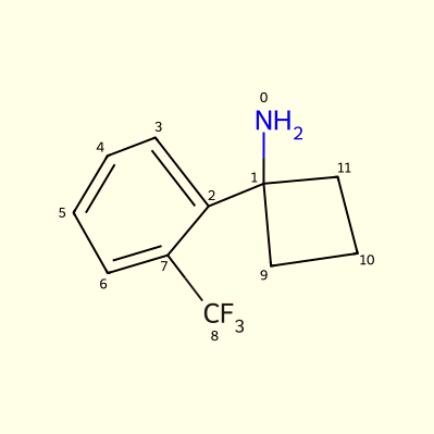 NC1(c2ccccc2C(F)(F)F)CCC1